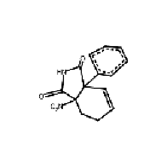 O=C1NC(=O)C2([N+](=O)[O-])CCC=CC12c1ccccc1